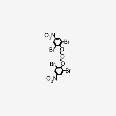 O=[N+]([O-])c1cc(Br)c(OCOCOc2c(Br)cc([N+](=O)[O-])cc2Br)c(Br)c1